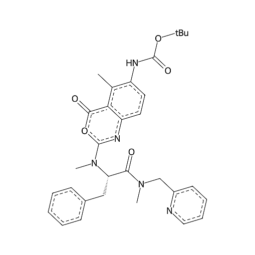 Cc1c(NC(=O)OC(C)(C)C)ccc2nc(N(C)[C@@H](Cc3ccccc3)C(=O)N(C)Cc3ccccn3)oc(=O)c12